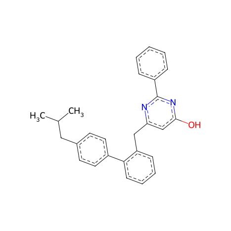 CC(C)Cc1ccc(-c2ccccc2Cc2cc(O)nc(-c3ccccc3)n2)cc1